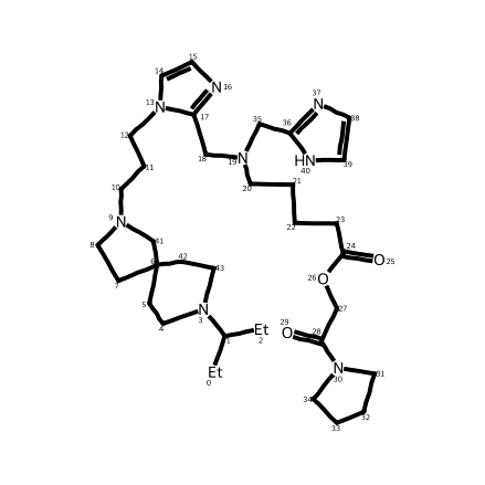 CCC(CC)N1CCC2(CCN(CCCn3ccnc3CN(CCCCC(=O)OCC(=O)N3CCCC3)Cc3ncc[nH]3)C2)CC1